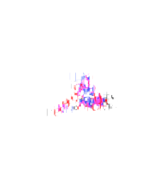 CC[C@H](C)[C@@H]([C@@H](CC(=O)N1CCC[C@H]1[C@H](OC)[C@@H](C)C(=O)N[C@H](C)[C@@H](O)c1ccccc1)OC)N(C)C(=O)[C@@H](NC(=O)[C@H](C(C)C)N(C)C(=O)OCc1ccc(NC(=O)C(CCCNC(N)=O)NC(=O)C(NC(=O)COCCOCCOCCOCCONC(=O)OC(C)(C)C)C(C)C)cc1)C(C)C